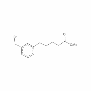 COC(=O)CCCCc1cccc(CBr)c1